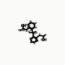 CC(O)Cc1ccccc1C(C)(C)c1ccccc1CC(C)O